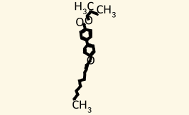 CCCCCCCCC=COc1ccc(-c2ccc(C(=O)OCC(C)CC)cc2)cc1